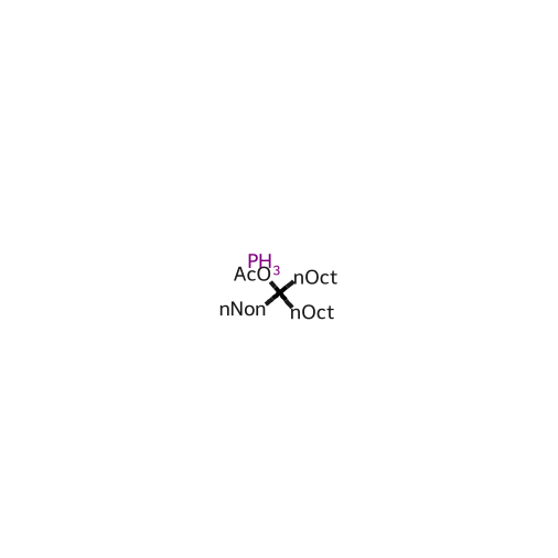 CCCCCCCCCC(CCCCCCCC)(CCCCCCCC)OC(C)=O.P